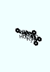 COC(=O)N(C(=O)[C@@H](N)C(c1ccccc1)c1ccccc1)c1ccccc1CC[C@@H]1CN[C@H](COCc2ccccc2)[C@@H](CO)O1